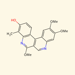 COc1cc2ncc3c(OC)nc4c(C)c(O)ccc4c3c2cc1OC